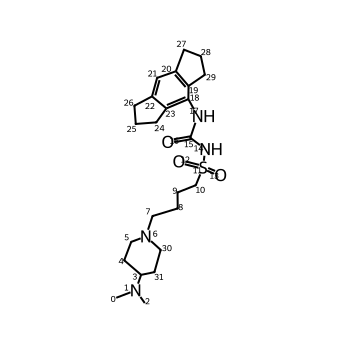 CN(C)C1CCN(CCCCS(=O)(=O)NC(=O)Nc2c3c(cc4c2CCC4)CCC3)CC1